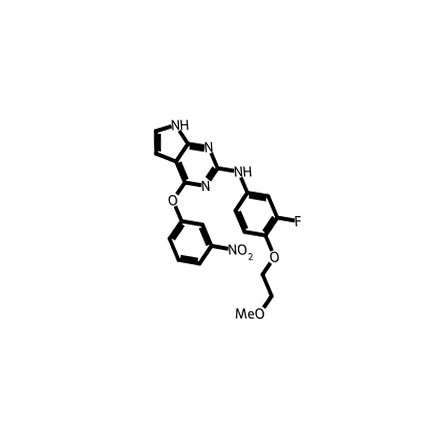 COCCOc1ccc(Nc2nc(Oc3cccc([N+](=O)[O-])c3)c3cc[nH]c3n2)cc1F